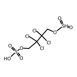 O=[SH](=O)OCC(Cl)(Cl)C(Cl)(Cl)COS(=O)(=O)O